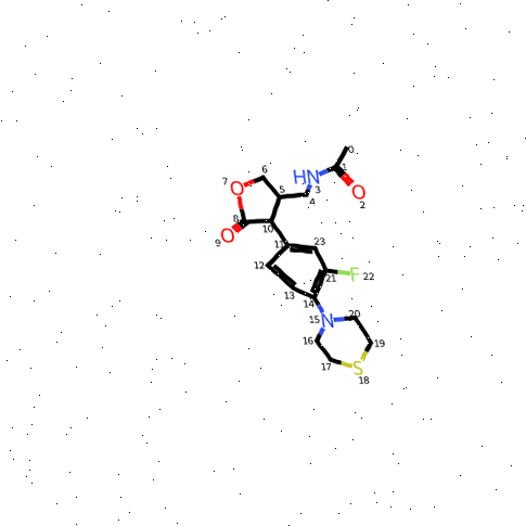 CC(=O)NCC1COC(=O)C1c1ccc(N2CCSCC2)c(F)c1